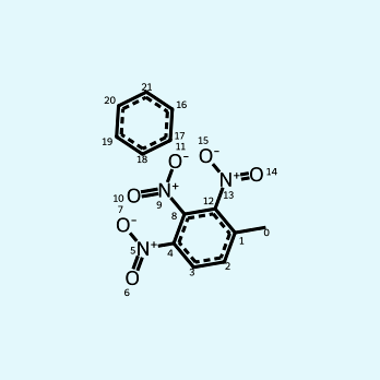 Cc1ccc([N+](=O)[O-])c([N+](=O)[O-])c1[N+](=O)[O-].c1ccccc1